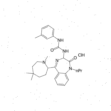 CCCN1C(=O)C(NC(=O)Nc2cccc(C)c2)N=C(C2CCC(C)(C)CCN2C)c2ccccc21.Cl